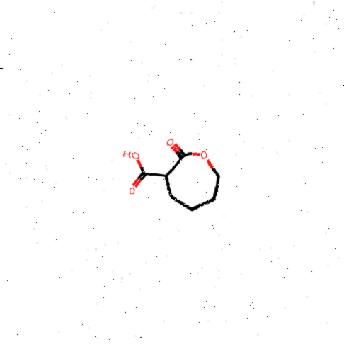 O=C(O)C1CCCCOC1=O